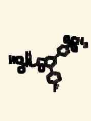 CS(=O)(=O)c1ccc(-c2cc(-c3ccc(F)cc3)c3oc(CNC(=O)O)cc3c2)cc1